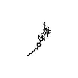 CCCCCCCCc1ccc(-c2cnc(OCC(OC(=O)CCCC)C(F)(F)F)nc2)cc1